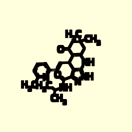 Cc1cccc(/C=C/C2C3=C(CC(C)(C)CC3=O)Nc3[nH]nc(C(=O)NC(C)C)c32)n1